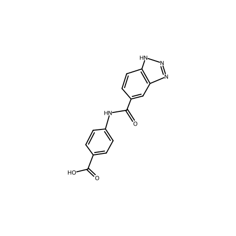 O=C(O)c1ccc(NC(=O)c2ccc3[nH]nnc3c2)cc1